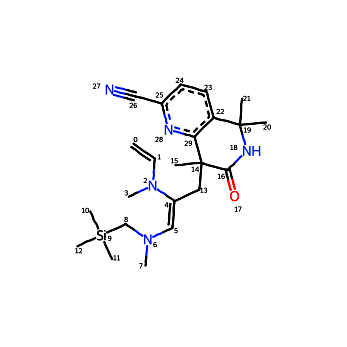 C=CN(C)/C(=C\N(C)C[Si](C)(C)C)CC1(C)C(=O)NC(C)(C)c2ccc(C#N)nc21